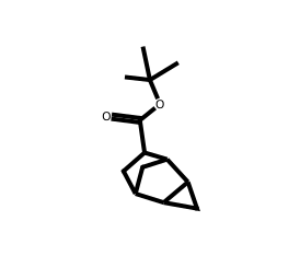 CC(C)(C)OC(=O)C1CC2CC1C1CC21